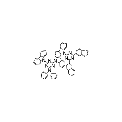 c1ccc2cc(-c3nc(-c4ccc5ccccc5c4)nc(-n4c5ccccc5c5ccc6c(c7ccccc7n6-c6nc(-n7c8ccccc8c8ccccc87)nc(-n7c8ccccc8c8ccccc87)n6)c54)n3)ccc2c1